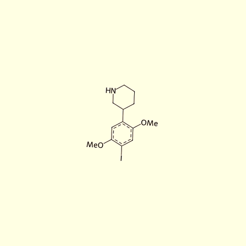 COc1cc(C2CCCNC2)c(OC)cc1I